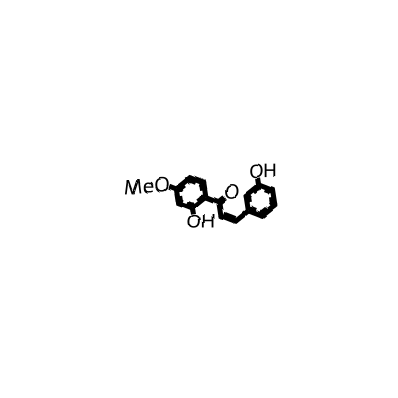 COc1ccc(C(=O)/C=C\c2cccc(O)c2)c(O)c1